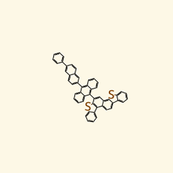 c1ccc(-c2ccc3cc(-c4c5ccccc5c(-c5cc6c(ccc7c8ccccc8sc76)c6c5sc5ccccc56)c5ccccc45)ccc3c2)cc1